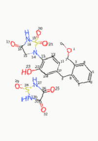 COCc1ccccc1Cc1ccc(N2CC(=O)NS2(=O)=O)c(O)c1.O=c1[nH][s+]([O-])[nH]c1=O